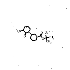 CC(C)(C)OC(=O)N1CCC[C@@H](N2CCCC(N)C2=O)C1